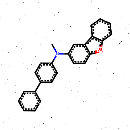 CN(c1ccc(-c2ccccc2)cc1)c1ccc2oc3ccccc3c2c1